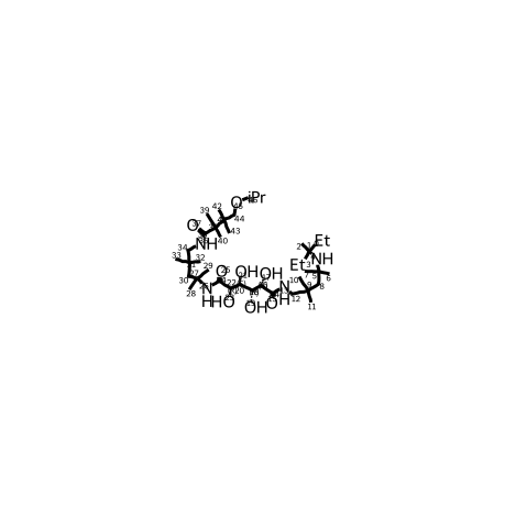 CCC(C)(CC)NC(C)(C)CC(C)(C)CNC(=O)[C@@H](O)[C@H](O)[C@H](O)[C@@H](O)C(=O)NC(C)(C)CC(C)(C)CNC(=O)C(C)(C)C(C)(C)COC(C)C